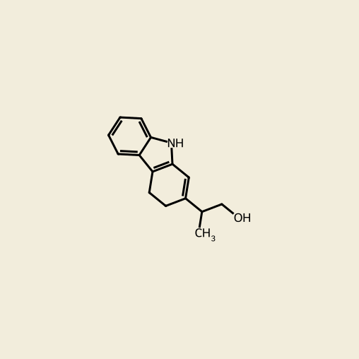 CC(CO)C1=Cc2[nH]c3ccccc3c2CC1